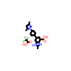 Cc1cc(C)n(-c2ccc(-c3cc(C(=O)O)c4nc(C)[nH]c4c3)cc2)n1.O=C(O)C(F)(F)F